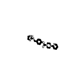 O=C(Oc1ccc(CSc2ncc[nH]2)cc1)N1CCN(c2ccccn2)CC1